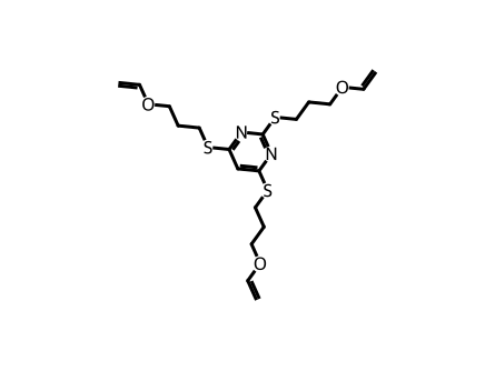 C=COCCCSc1cc(SCCCOC=C)nc(SCCCOC=C)n1